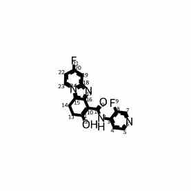 O=C(Nc1ccncc1F)C1=C(O)CCc2c1nc1cc(F)ccn21